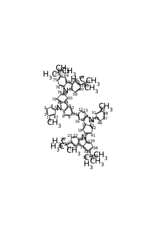 Cc1cccc(-n2c3ccc(-c4ccc5c(c4)c4cc(-n6c7ccc(C(C)(C)C)cc7c7cc(C(C)(C)C)ccc76)ccc4n5-c4cccc(C)c4)cc3c3cc(-n4c5ccc(C(C)(C)C)cc5c5cc(C(C)(C)C)ccc54)ccc32)c1